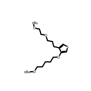 CCCCOCCCCCOc1cscc1CCCOCCOCCCC